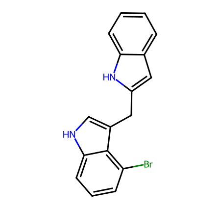 Brc1cccc2[nH]cc(Cc3cc4ccccc4[nH]3)c12